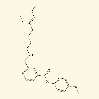 CC/C=C(\CC)CCCCNCc1cc(C(=O)Oc2ccc(OC)cc2)ccn1